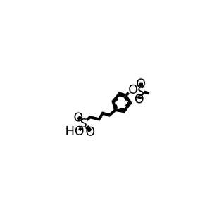 CS(=O)(=O)Oc1ccc(CCCCS(=O)(=O)O)cc1